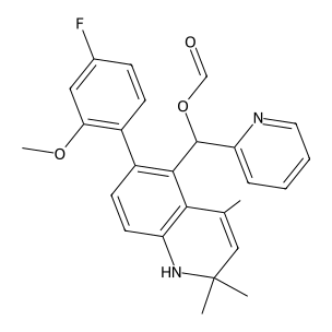 COc1cc(F)ccc1-c1ccc2c(c1C(OC=O)c1ccccn1)C(C)=CC(C)(C)N2